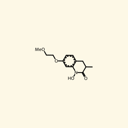 COCCOc1ccc2c(c1)N(O)C(=O)C(C)C2